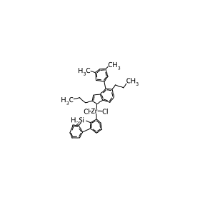 CCCC1=Cc2c(ccc(CCC)c2-c2cc(C)cc(C)c2)[CH]1[Zr]([Cl])([Cl])[c]1cccc2c1[SiH2]c1ccccc1-2